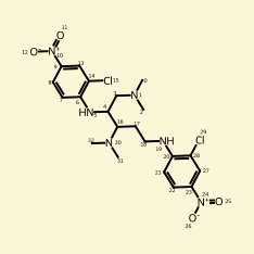 CN(C)CC(Nc1ccc([N+](=O)[O-])cc1Cl)C(CCNc1ccc([N+](=O)[O-])cc1Cl)N(C)C